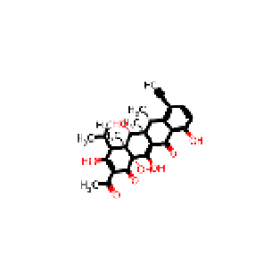 C#Cc1ccc(O)c2c1[C@@H](C)[C@@]1(C)C(=C(O)[C@@]3(O)C(=O)C(C(C)=O)=C(O)C(C(C)C)[C@@]3(C)[C@@H]1O)C2=O